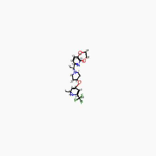 Cc1cc(OC2CCN([C@@H](C)c3ccc4c(n3)OCCO4)CC2)cc(C(F)(F)F)n1